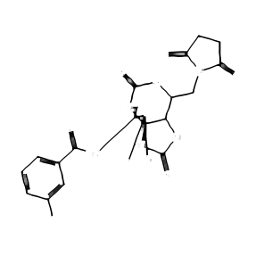 Cc1cccc(C(=O)NC2CN3C(=N)NC(CN4C(=O)CCC4=O)C4NC(=N)N[C@@]43C2(O)O)c1